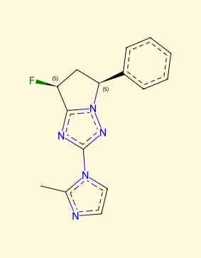 Cc1nccn1-c1nc2n(n1)[C@H](c1ccccc1)C[C@@H]2F